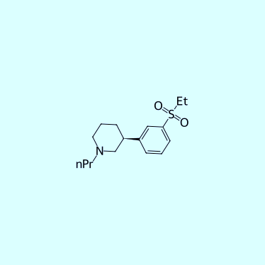 CCCN1CCC[C@@H](c2cccc(S(=O)(=O)CC)c2)C1